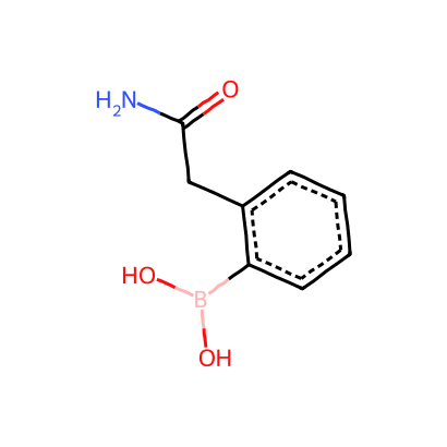 NC(=O)Cc1ccccc1B(O)O